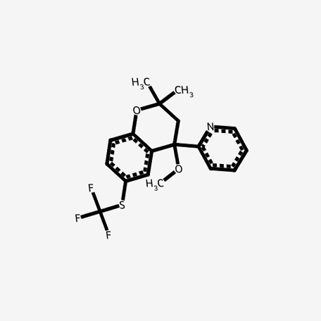 COC1(c2ccccn2)CC(C)(C)Oc2ccc(SC(F)(F)F)cc21